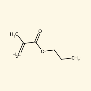 [CH2]CCOC(=O)C(=C)C